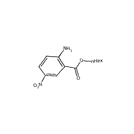 CCCCCCOC(=O)c1cc([N+](=O)[O-])ccc1N